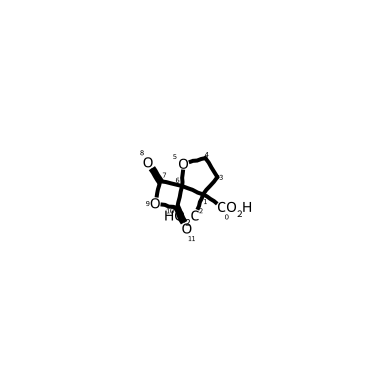 O=C(O)C1(C(=O)O)CCOC12C(=O)OC2=O